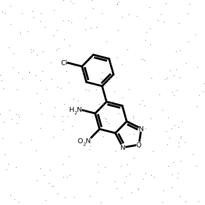 Nc1c(-c2cccc(Cl)c2)cc2nonc2c1[N+](=O)[O-]